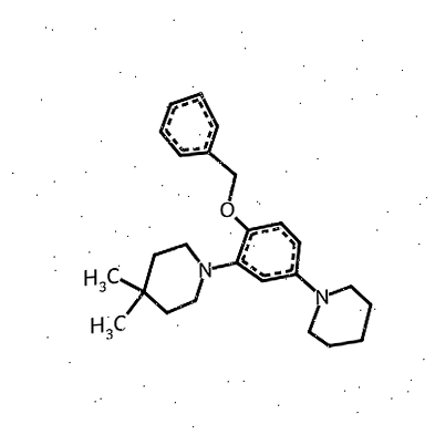 CC1(C)CCN(c2cc(N3CCCCC3)ccc2OCc2ccccc2)CC1